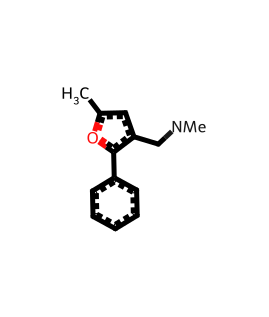 CNCc1cc(C)oc1-c1ccccc1